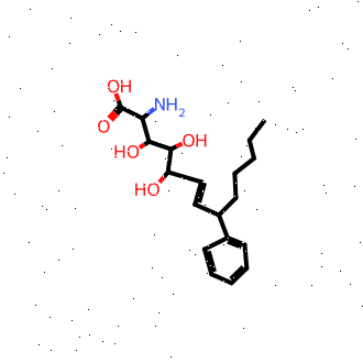 CCCCCC(/C=C/C(O)C(O)C(O)C(N)C(=O)O)c1ccccc1